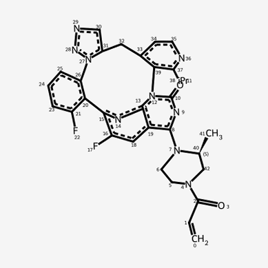 C=CC(=O)N1CCN(c2nc(=O)n3c4nc(c(F)cc24)-c2c(F)cccc2-n2nncc2Cc2ccnc(C(C)C)c2-3)[C@@H](C)C1